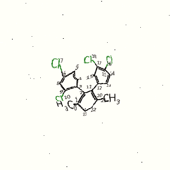 CC1=C(c2ccc(Cl)cc2Cl)C(c2ccc(Cl)c(Cl)c2)=C(C)C[CH]1